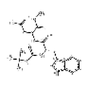 COC(=O)[C@H](CC(=O)O)NC(=O)[C@H](Cc1c[nH]c2ccccc12)NC(=O)OC(C)(C)C